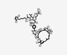 COc1cc2cc(c1Cl)N(C)C(=O)C[C@H](OC(=O)[C@H](C)N(C)C(=O)c1ccc(NC(=O)[C@H](CCCNC(N)=O)NC(=O)[C@@H](NC(=S)NCCCCN3C(=O)C=CC3=O)C(C)C)c(O)c1)[C@]1(C)O[C@H]1[C@H](C)[C@@H]1C[C@@](O)(NC(=O)O1)[C@H](OC)/C=C/C=C(\C)C2